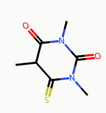 CC1C(=O)N(C)C(=O)N(C)C1=S